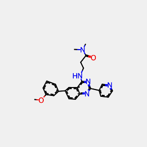 COc1cccc(-c2ccc3nc(-c4cccnc4)nc(NCCC(=O)N(C)C)c3c2)c1